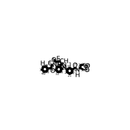 C[C@H](NC(=O)C(C)(F)F)[C@H](Oc1ccc2c(cnn2-c2cccc(C(=O)NC3CCS(=O)(=O)C3)c2)c1)c1ccccc1